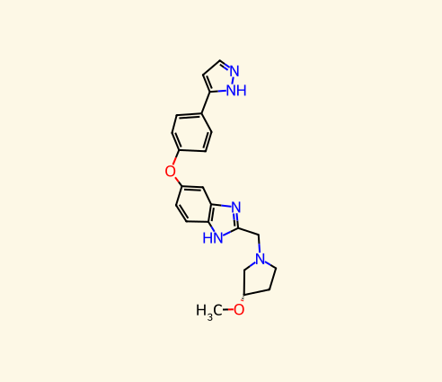 CO[C@H]1CCN(Cc2nc3cc(Oc4ccc(-c5ccn[nH]5)cc4)ccc3[nH]2)C1